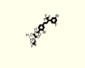 CC(NC(=O)c1ccc(/C=C/C(c2cc(F)cc(Br)c2)C(F)(F)F)cc1Br)C(=O)NCC(F)(F)F